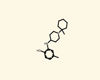 Cc1ccc(O)c(NC2CCN(C3(C)CCCCC3)CC2)c1